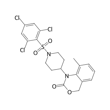 Cc1cccc2c1N(C1CCN(S(=O)(=O)c3c(Cl)cc(Cl)cc3Cl)CC1)C(=O)OC2